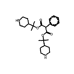 CC(C)(OC(=O)C(C(=O)OC(C)(C)C1CCNCC1)c1ccccc1)C1CCNCC1